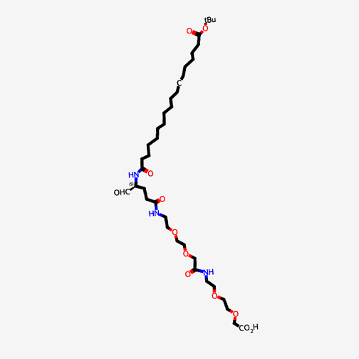 CC(C)(C)OC(=O)CCCCCCCCCCCCCCCCC(=O)N[C@H](C=O)CCC(=O)NCCOCCOCC(=O)NCCOCCOCC(=O)O